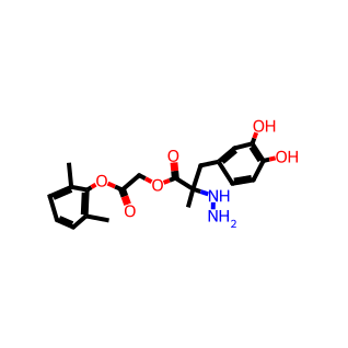 Cc1cccc(C)c1OC(=O)COC(=O)C(C)(Cc1ccc(O)c(O)c1)NN